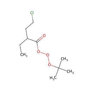 CCC(CCCl)C(=O)OOOC(C)(C)C